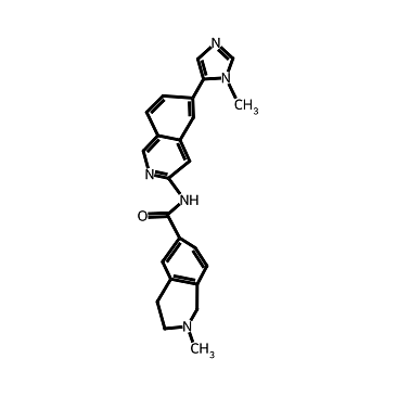 CN1CCc2cc(C(=O)Nc3cc4cc(-c5cncn5C)ccc4cn3)ccc2C1